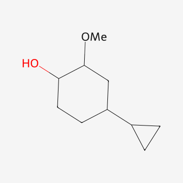 COC1CC(C2CC2)CCC1O